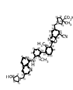 Cc1c(Nc2nccc3cc(CN4CC[C@@H](O)C4)cnc23)cccc1-c1cccc(-c2nc3cc(CN4CC[C@@](C)(C(=O)O)C4)cc(C#N)c3o2)c1C